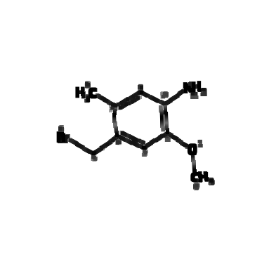 COc1cc(CBr)c(C)cc1N